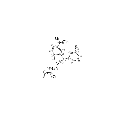 COC(=O)NCCOC(c1cccc(Cl)c1)c1cc(C(=O)O)ccc1C